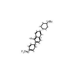 CCCC[C@H]1CC[C@H](c2ccc3c(F)c(-c4ccc(OC(F)(F)F)cc4)ccc3c2)CC1